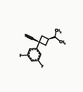 CC(C)[C@H]1C[C@](C#N)(c2cc(F)cc(F)c2)C1